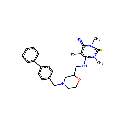 Cn1c(NCC2CN(Cc3ccc(-c4ccccc4)cc3)CCO2)c(C#N)c(=N)n(C)c1=S